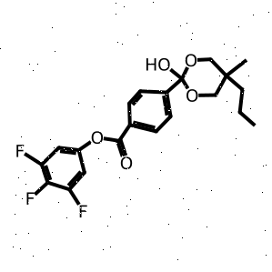 CCCC1(C)COC(O)(c2ccc(C(=O)Oc3cc(F)c(F)c(F)c3)cc2)OC1